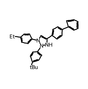 CCc1ccc(N2C=C(c3ccc(-c4ccccc4)cc3)NN2c2ccc(C(C)(C)C)cc2)cc1